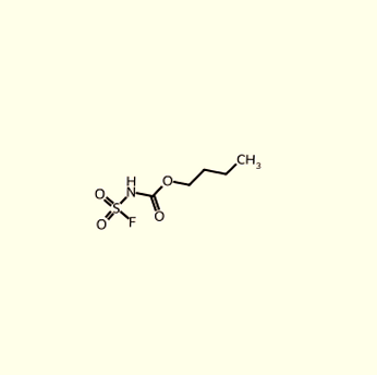 CCCCOC(=O)NS(=O)(=O)F